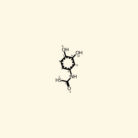 O=C(S)Nc1ccc(O)c(O)c1